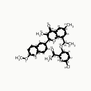 COc1ccc2cc(-c3oc4c([C@@H](C)Oc5ccc(Cl)nc5C(N)=O)cc(C)cc4c(=O)c3C)ccc2n1